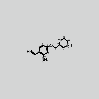 N=Cc1ccc(OC[C@@H]2CNCCO2)cc1N